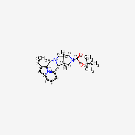 C=Cc1cc2ccccn2c1CN1C[C@@H]2CN(C(=O)OC(C)(C)C)C[C@@H]2C1